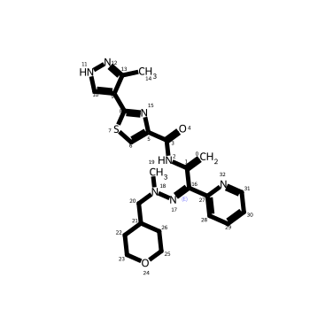 C=C(NC(=O)c1csc(-c2c[nH]nc2C)n1)/C(=N\N(C)CC1CCOCC1)c1ccccn1